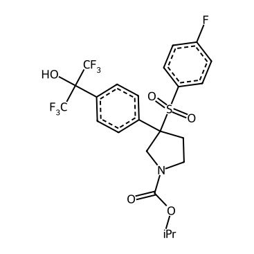 CC(C)OC(=O)N1CCC(c2ccc(C(O)(C(F)(F)F)C(F)(F)F)cc2)(S(=O)(=O)c2ccc(F)cc2)C1